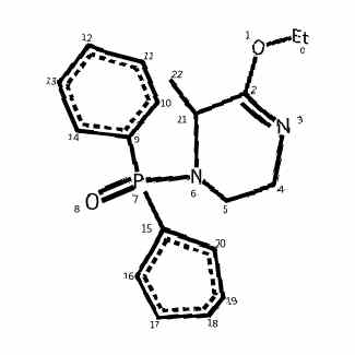 CCOC1=NCCN(P(=O)(c2ccccc2)c2ccccc2)C1C